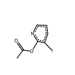 CC(=O)Oc1ncccc1I